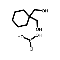 OCC1(CO)CCCCC1.OP(O)Cl